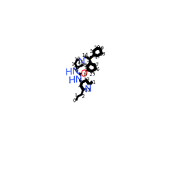 CCCc1cc(NC(=O)N[C@H]2CCN(CC(c3ccccc3)c3ccccc3)C2)cc(C)n1